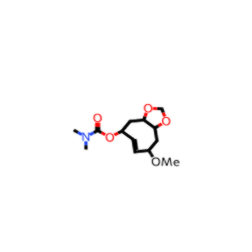 COC1/C=C/C(OC(=O)N(C)C)CC2OCOC2C1